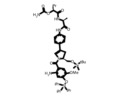 COc1cc(C(=O)N2C=C(c3ccc(NC(=O)[C@H](C)NC(=O)[C@@H](OC(N)=O)C(C)C)cc3)C[C@H]2CO[Si](C)(C)C(C)(C)C)c(N)cc1O[Si](C(C)C)(C(C)C)C(C)C